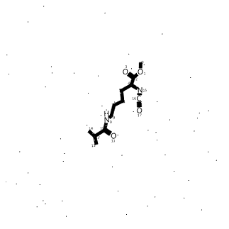 COC(=O)C(CCCCNC(=O)C(C)C)N=C=O